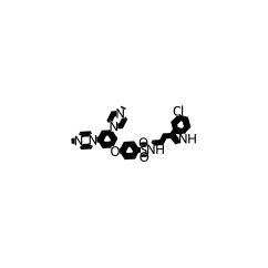 CN1CCN(c2cc(Oc3ccc(S(=O)(=O)NCCCc4c[nH]c5ccc(Cl)cc45)cc3)cc(N3CCN(C)CC3)c2)CC1